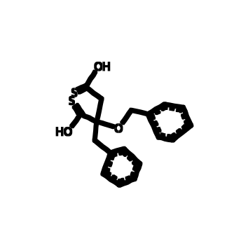 OC(=S)CC(Cc1ccccc1)(OCc1ccccc1)C(O)=S